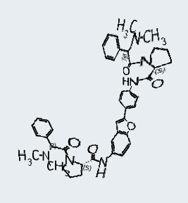 CN(C)[C@@H](C(=O)N1CCC[C@H]1C(=O)Nc1ccc(-c2cc3cc(NC(=O)[C@@H]4CCCN4C(=O)[C@@H](c4ccccc4)N(C)C)ccc3o2)cc1)c1ccccc1